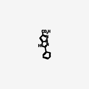 O=C(O)c1cc2[nH]c(-c3ccccc3)nn2n1